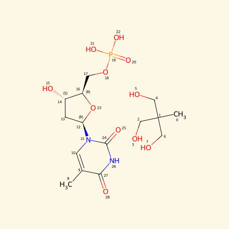 CC(CO)(CO)CO.Cc1cn([C@H]2C[C@H](O)[C@@H](COP(=O)(O)O)O2)c(=O)[nH]c1=O